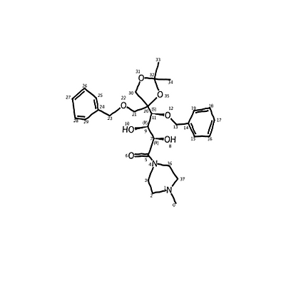 CN1CCN(C(=O)[C@H](O)[C@@H](O)[C@H](OCc2ccccc2)C2(COCc3ccccc3)COC(C)(C)O2)CC1